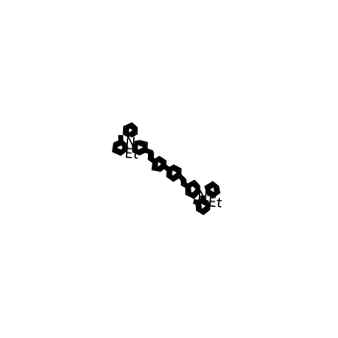 CCc1cccc(C)c1N(c1ccccc1)c1ccc(C=Cc2ccc(-c3ccc(C=Cc4ccc(N(c5ccccc5)c5c(C)cccc5CC)cc4)cc3)cc2)cc1